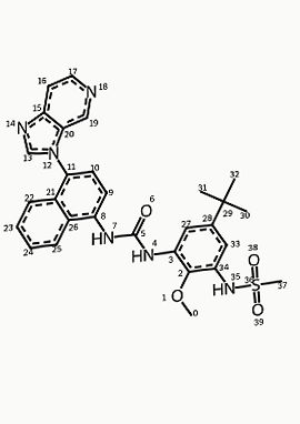 COc1c(NC(=O)Nc2ccc(-n3cnc4ccncc43)c3ccccc23)cc(C(C)(C)C)cc1NS(C)(=O)=O